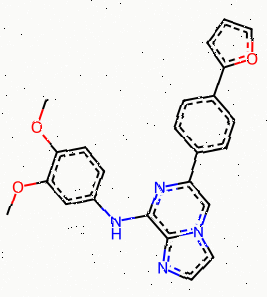 COc1ccc(Nc2nc(-c3ccc(-c4ccco4)cc3)cn3ccnc23)cc1OC